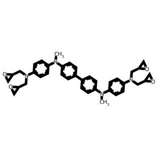 CN(c1ccc(-c2ccc(N(C)c3ccc(N(CC4CO4)CC4CO4)cc3)cc2)cc1)c1ccc(N(CC2CO2)CC2CO2)cc1